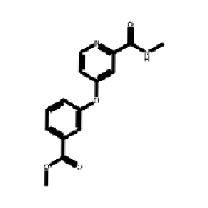 CNC(=O)c1cc(Oc2cccc(C(=O)OC)c2)ccn1